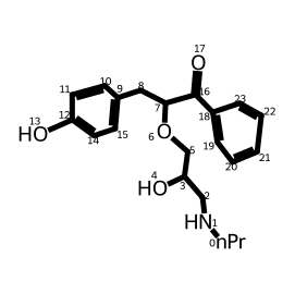 CCCNCC(O)COC(Cc1ccc(O)cc1)C(=O)c1ccccc1